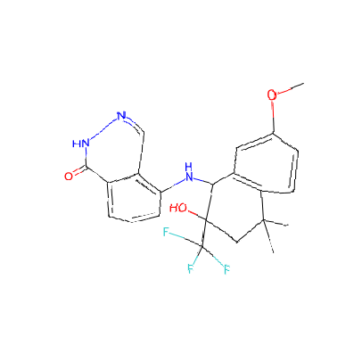 COc1ccc2c(c1)C(Nc1cccc3c(=O)[nH]ncc13)C(O)(C(F)(F)F)CC2(C)C